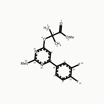 COC(=O)C(C)(C)Oc1cc(-c2ccc(F)c(F)c2)nc(SC)n1